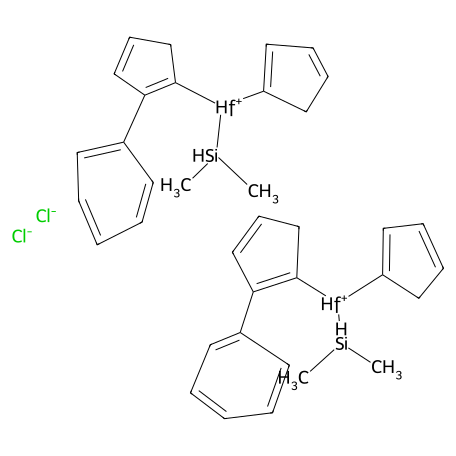 C[SiH](C)[Hf+]([C]1=CC=CC1)[C]1=C(c2ccccc2)C=CC1.C[SiH](C)[Hf+]([C]1=CC=CC1)[C]1=C(c2ccccc2)C=CC1.[Cl-].[Cl-]